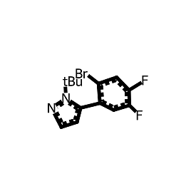 CC(C)(C)n1nccc1-c1cc(F)c(F)cc1Br